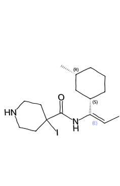 C/C=C(/NC(=O)C1(I)CCNCC1)[C@H]1CCC[C@@H](C)C1